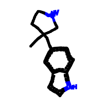 CC1(c2ccc3[nH]ccc3c2)CCNC1